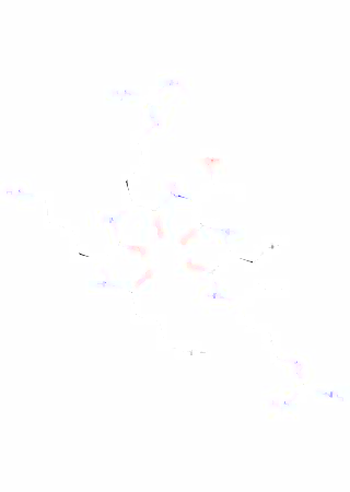 CCCCCCCCCCCCCC(=O)N[C@@H](CCCCN)C(=O)N[C@@H](CCCN=C(N)N)C(=O)N[C@H](C(=O)N[C@@H](CC(C)C)C(=O)N[C@@H](CCCN=C(N)N)C(=O)O)[C@@H](C)O